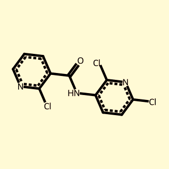 O=C(Nc1ccc(Cl)nc1Cl)c1cccnc1Cl